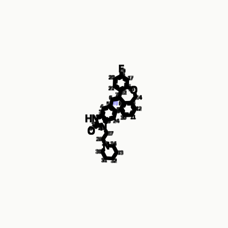 O=c1[nH]c2cc(/C=C3\c4ccccc4COc4cc(F)ccc43)ccc2n1CCN1CCCCC1